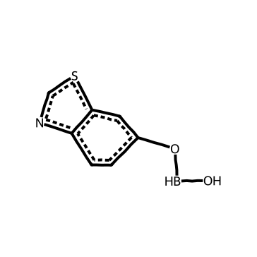 OBOc1ccc2ncsc2c1